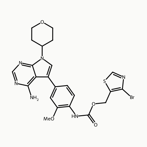 COc1cc(-c2cn(C3CCOCC3)c3ncnc(N)c23)ccc1NC(=O)OCc1scnc1Br